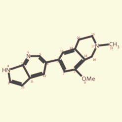 COc1cc(-c2cnc3[nH]ccc3c2)cc2c1CN(C)CC2